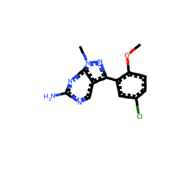 COc1ccc(Cl)cc1-c1nn(C)c2nc(N)ncc12